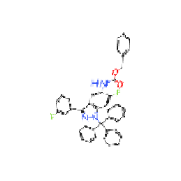 O=C(Nc1cc2c(-c3cccc(F)c3)nn(C(c3ccccc3)(c3ccccc3)c3ccccc3)c2cc1F)OCc1ccccc1